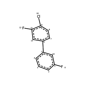 Fc1cccc(-c2ccc(Cl)c(F)c2)c1